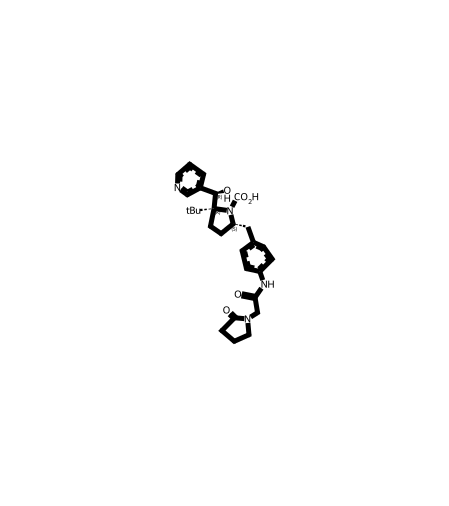 CC(C)(C)[C@@]1([C@H](O)c2cccnc2)CC[C@@H](Cc2ccc(NC(=O)CN3CCCC3=O)cc2)N1C(=O)O